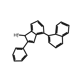 [Hf][CH]1C(c2ccccc2)=Cc2c(-c3cccc4ccccc34)cccc21